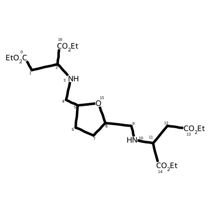 CCOC(=O)CC(NCC1CCC(CNC(CC(=O)OCC)C(=O)OCC)O1)C(=O)OCC